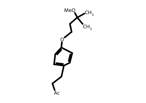 COC(C)(C)CCOc1ccc(CCC(C)=O)cc1